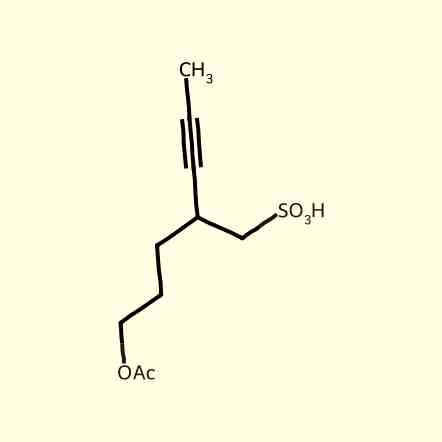 CC#CC(CCCOC(C)=O)CS(=O)(=O)O